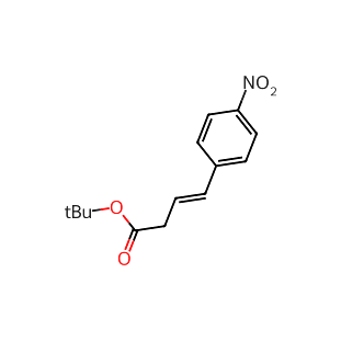 CC(C)(C)OC(=O)CC=Cc1ccc([N+](=O)[O-])cc1